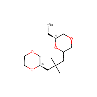 CC(C)(C)C[C@H]1COCC(CC(C)(C)C[C@@H]2COCCO2)O1